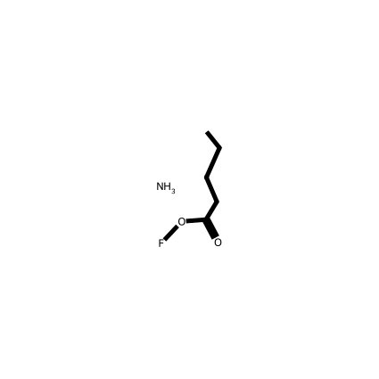 CCCCC(=O)OF.N